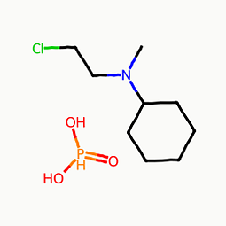 CN(CCCl)C1CCCCC1.O=[PH](O)O